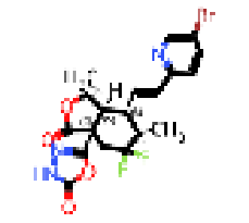 C[C@H]1OC(=O)[C@@]2(c3n[nH]c(=O)o3)CC(F)(F)[C@@H](C)[C@H](C=Cc3ccc(Br)cn3)[C@H]12